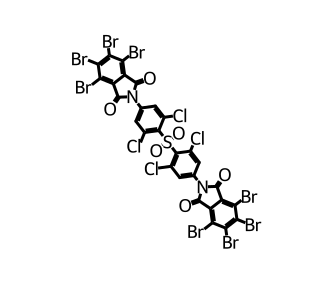 O=C1c2c(Br)c(Br)c(Br)c(Br)c2C(=O)N1c1cc(Cl)c(S(=O)(=O)c2c(Cl)cc(N3C(=O)c4c(Br)c(Br)c(Br)c(Br)c4C3=O)cc2Cl)c(Cl)c1